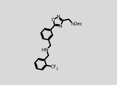 CCCCCCCCCCCc1noc(-c2cccc(CNCc3ccccc3C(F)(F)F)c2)n1